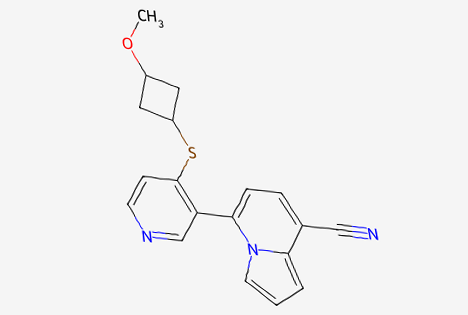 COC1CC(Sc2ccncc2-c2ccc(C#N)c3cccn23)C1